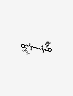 CC(C)(C)OC(=O)Oc1ccccc1/C=C/C(=O)NCCCCCCNC(=O)/C=C/c1ccccc1OC(=O)OC(C)(C)C